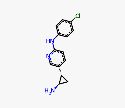 N[C@@H]1C[C@H]1c1ccc(Nc2ccc(Cl)cc2)nc1